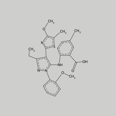 CCc1nn(-c2ccccc2OC)c(Nc2ccc(C)cc2C(=O)O)c1-c1nc(OC)c(C)s1